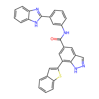 O=C(Nc1cccc(-c2nc3ccccc3[nH]2)c1)c1cc(-c2cc3ccccc3s2)c2[nH]ncc2c1